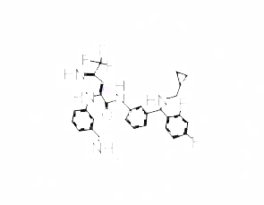 N=C(/C=C(\Nc1cccc(CN)c1)C(=O)Nc1cccc(C(NCC2CC2)c2ccc(F)cc2F)c1)C(F)(F)F